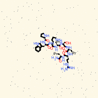 CC(C)C[C@H](NC(=O)[C@H](CCCNC(=N)N)NC(=O)[C@H](CC(C)C)NC(=O)[C@H](CO)NC(=O)[C@H](CC(C)C)NC(=O)[C@H](CCCCN)NC(=O)[C@H](Cc1c[nH]c2ccccc12)NC(=O)[C@@H]1CCCN1)C(N)=O